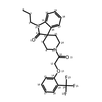 CCCN1C(=O)C2(CCN(C(=O)COc3ccccc3C(F)(F)F)CC2)c2ccccc21